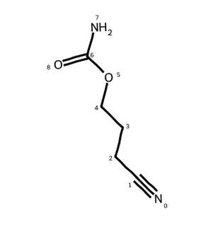 N#CCCCOC(N)=O